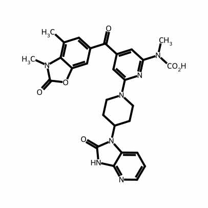 Cc1cc(C(=O)c2cc(N3CCC(n4c(=O)[nH]c5ncccc54)CC3)nc(N(C)C(=O)O)c2)cc2oc(=O)n(C)c12